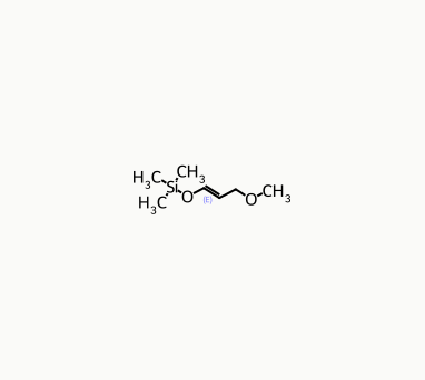 COC/C=C/O[Si](C)(C)C